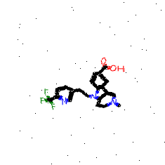 CN1CCc2c(c3cc(C(=O)O)ccc3n2CCc2ccc(C(F)(F)F)nc2)C1